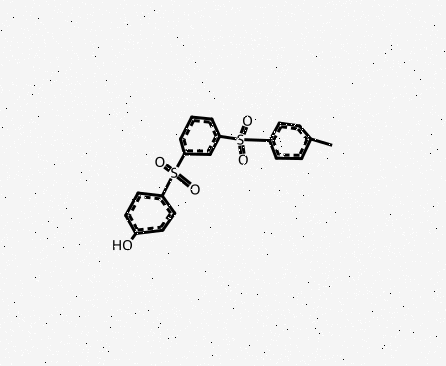 Cc1ccc(S(=O)(=O)c2cccc(S(=O)(=O)c3ccc(O)cc3)c2)cc1